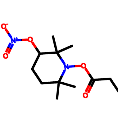 CCC(=O)ON1C(C)(C)CCC(O[N+](=O)[O-])C1(C)C